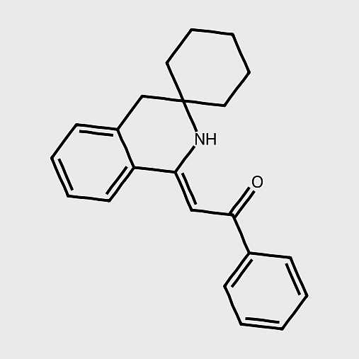 O=C(C=C1NC2(CCCCC2)Cc2ccccc21)c1ccccc1